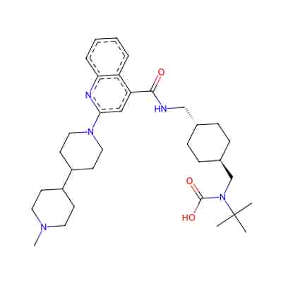 CN1CCC(C2CCN(c3cc(C(=O)NC[C@H]4CC[C@H](CN(C(=O)O)C(C)(C)C)CC4)c4ccccc4n3)CC2)CC1